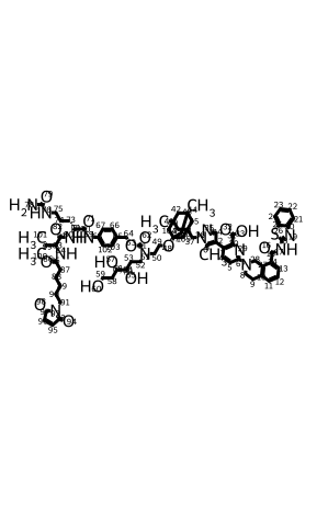 Cc1c(-c2ccc(N3CCc4cccc(C(=O)Nc5nc6ccccc6s5)c4C3)nc2C(=O)O)cnn1CC12CC3(C)CC(C)(C1)CC(OCCN(CC[C@@H](O)[C@H](O)CCO)C(=O)OCc1ccc(NC(=O)[C@@H](CCCNC(N)=O)NC(=O)C(NC(=O)CCCCCN4C(=O)C=CC4=O)C(C)C)cc1)(C3)C2